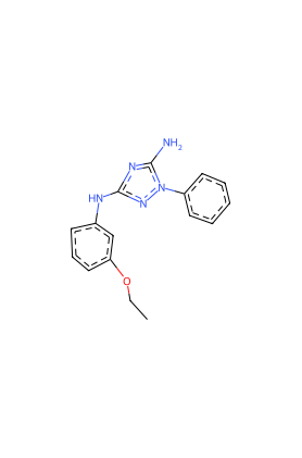 CCOc1cccc(Nc2nc(N)n(-c3ccccc3)n2)c1